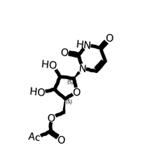 CC(=O)C(=O)OC[C@@H]1O[C@H](n2ccc(=O)[nH]c2=O)C(O)C1O